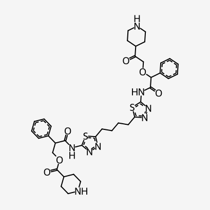 O=C(COC(C(=O)Nc1nnc(CCCCc2nnc(NC(=O)C(COC(=O)C3CCNCC3)c3ccccc3)s2)s1)c1ccccc1)C1CCNCC1